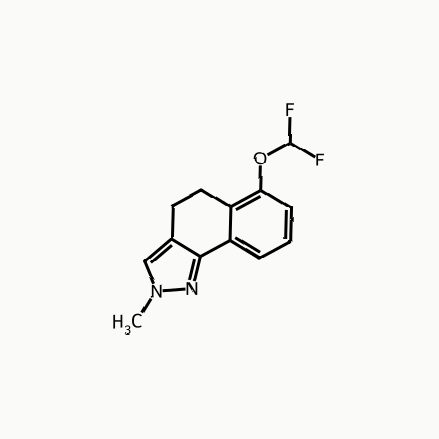 Cn1cc2c(n1)-c1cccc(OC(F)F)c1CC2